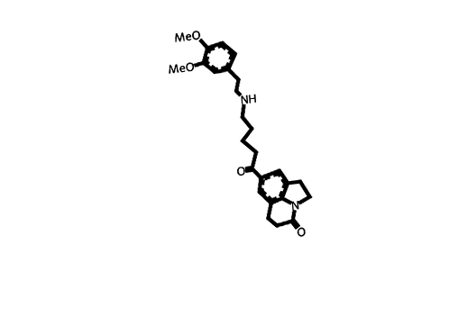 COc1ccc(CCNCCCCC(=O)c2cc3c4c(c2)CCN4C(=O)CC3)cc1OC